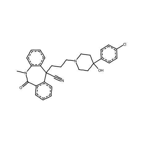 CN1C(=O)c2ccccc2C(C#N)(CCCN2CCC(O)(c3ccc(Cl)cc3)CC2)c2ccccc21